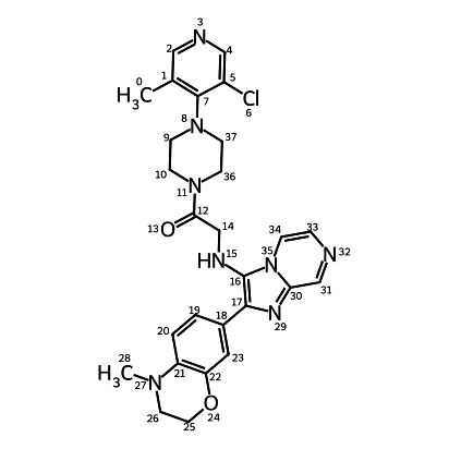 Cc1cncc(Cl)c1N1CCN(C(=O)CNc2c(-c3ccc4c(c3)OCCN4C)nc3cnccn23)CC1